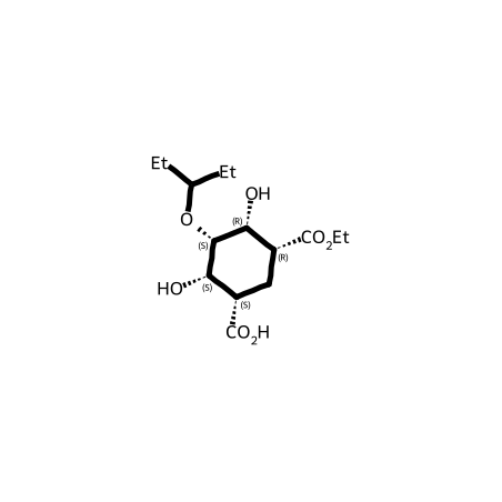 CCOC(=O)[C@@H]1C[C@H](C(=O)O)[C@H](O)[C@H](OC(CC)CC)[C@@H]1O